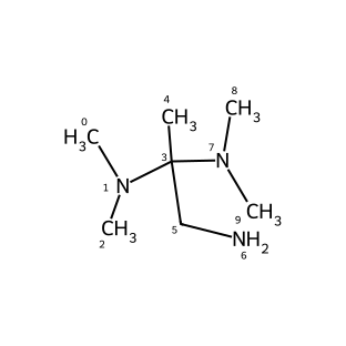 CN(C)C(C)(CN)N(C)C